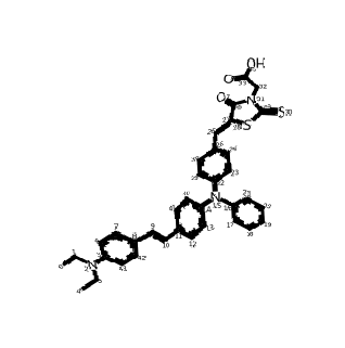 CCN(CC)c1ccc(C=Cc2ccc(N(c3ccccc3)c3ccc(/C=C4\SC(=S)N(CC(=O)O)C4=O)cc3)cc2)cc1